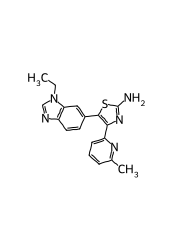 CCn1cnc2ccc(-c3sc(N)nc3-c3cccc(C)n3)cc21